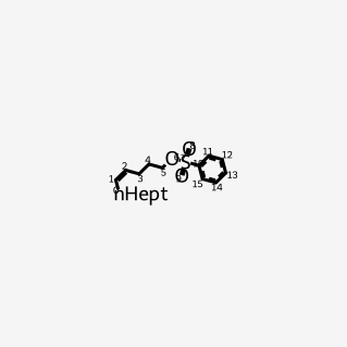 CCCCCCC/C=C\CCCOS(=O)(=O)c1ccccc1